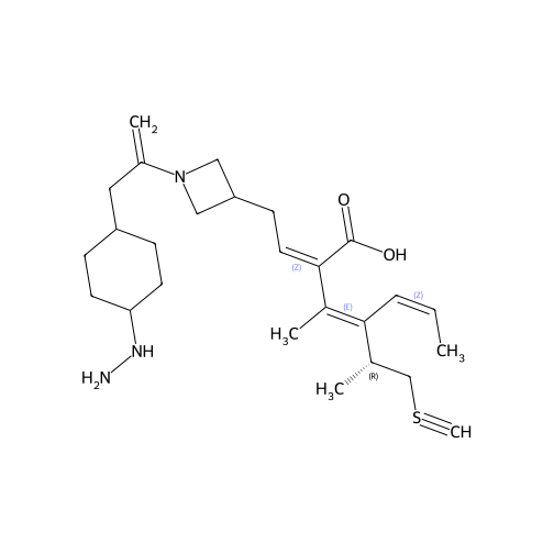 C#SC[C@H](C)C(/C=C\C)=C(C)/C(=C/CC1CN(C(=C)CC2CCC(NN)CC2)C1)C(=O)O